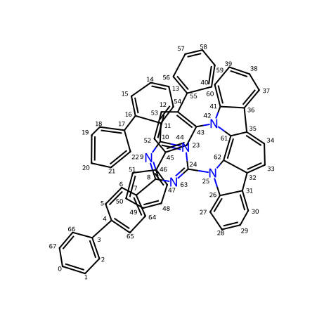 c1ccc(-c2ccc(-c3nc(-c4ccccc4-c4ccccc4)nc(-n4c5ccccc5c5ccc6c7ccccc7n(-c7cc(-c8ccccc8)ccc7-c7ccccc7)c6c54)n3)cc2)cc1